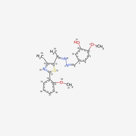 COc1ccc(/C=N\N=C(\C)c2sc(-c3ccccc3OC)nc2C)cc1O